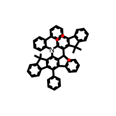 CC1(C)c2ccccc2-c2c(-c3ccccc3)c3c4c(c21)N(c1ccccc1-c1ccccc1)c1ccc2c(c1C4(C)c1ccccc1-3)C(C)(C)c1ccccc1-2